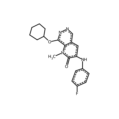 Cn1c(=O)c(Nc2ccc(F)cc2)cc2cnnc(OC3CCCCC3)c21